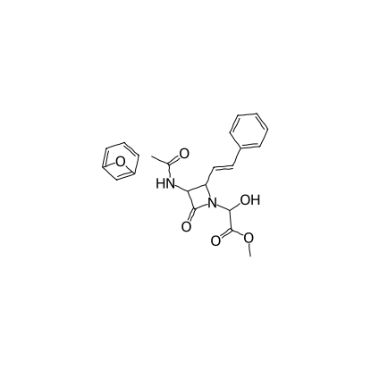 COC(=O)C(O)N1C(=O)C(NC(C)=O)C1C=Cc1ccccc1.c1cc2cc(c1)O2